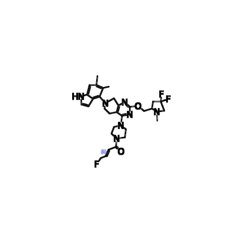 Cc1cc2[nH]ccc2c(N2CCc3c(nc(OCC4CC(F)(F)CN4C)nc3N3CCN(C(=O)/C=C/CF)CC3)C2)c1C